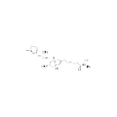 Cc1cccc(C[C@H](O)/C=C/[C@@H]2[C@H]3CC(CCCCCC(=O)N(C(C)C)C(C)C)=C[C@H]3C[C@H]2O)c1